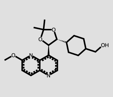 COc1ccc2nccc([C@H]3OC(C)(C)O[C@@H]3C3CCC(CO)CC3)c2n1